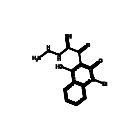 CCn1c(=O)c(C(=O)C(=N)NNN)c(O)c2ccccc21